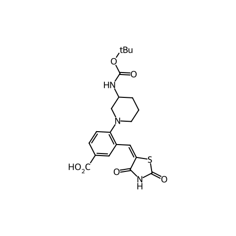 CC(C)(C)OC(=O)NC1CCCN(c2ccc(C(=O)O)cc2/C=C2/SC(=O)NC2=O)C1